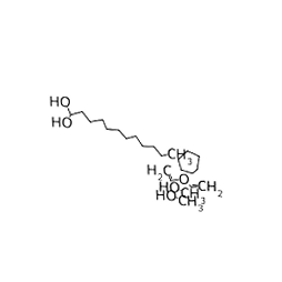 C1CCCCC1.C=COC=C.CCCCCCCCCCCC(O)O.CO.CO